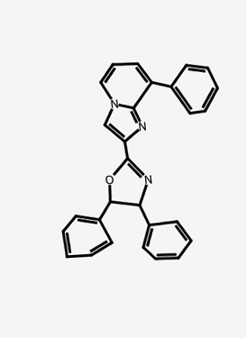 c1ccc(-c2cccn3cc(C4=NC(c5ccccc5)C(c5ccccc5)O4)nc23)cc1